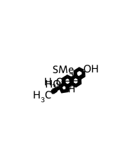 CC#C[C@]1(O)CC[C@H]2[C@@H]3CCC4=CC(O)CC[C@]4(CSC)[C@H]3CC[C@@]21C